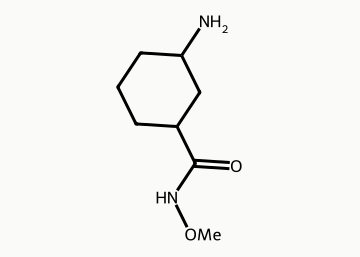 CONC(=O)C1CCCC(N)C1